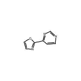 [c]1nccc(-c2ncco2)n1